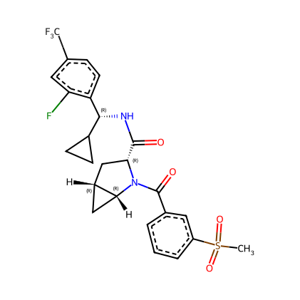 CS(=O)(=O)c1cccc(C(=O)N2[C@@H](C(=O)N[C@@H](c3ccc(C(F)(F)F)cc3F)C3CC3)C[C@H]3C[C@H]32)c1